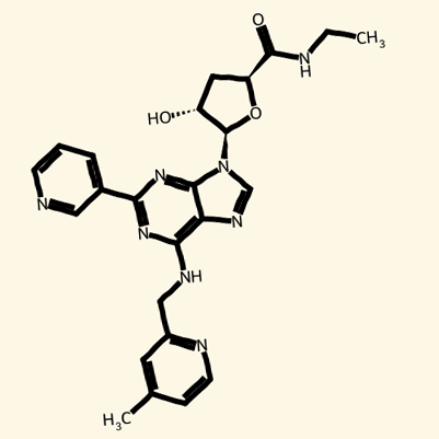 CCNC(=O)[C@@H]1C[C@@H](O)[C@H](n2cnc3c(NCc4cc(C)ccn4)nc(-c4cccnc4)nc32)O1